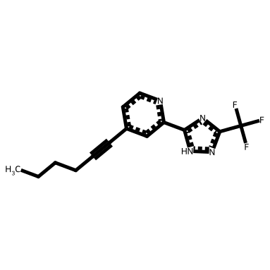 CCCCC#Cc1ccnc(-c2nc(C(F)(F)F)n[nH]2)c1